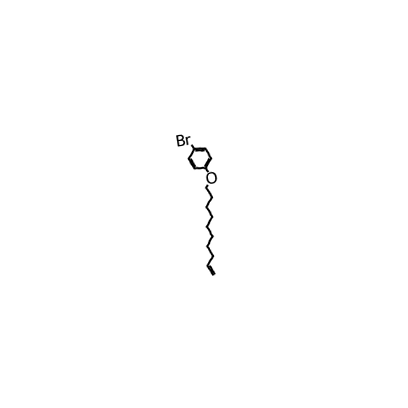 C=CCCCCCCCCOc1ccc(Br)cc1